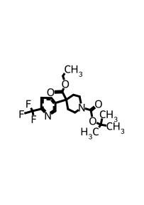 CCOC(=O)C1(c2ccc(C(F)(F)F)nc2)CCN(C(=O)OC(C)(C)C)CC1